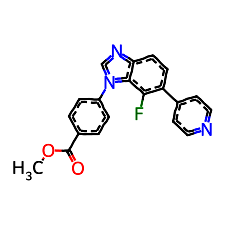 COC(=O)c1ccc(-n2cnc3ccc(-c4ccncc4)c(F)c32)cc1